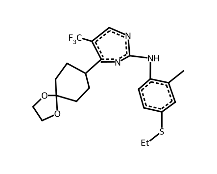 CCSc1ccc(Nc2ncc(C(F)(F)F)c(C3CCC4(CC3)OCCO4)n2)c(C)c1